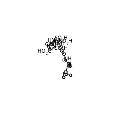 CC(C)(CCCCOc1cc(-c2ccccc2)cc(-c2ccccc2)n1)C1(CCCCC(=O)NCCCOCCOCCOCCCNC(=O)[C@H](CS(=O)(=O)O)NC(=O)[C@H](CS(=O)(=O)O)NC(=O)CN2CCN(CC(=O)O)CCN(CC(=O)O)CCN(CC(=O)O)CC2)N=NN=N1